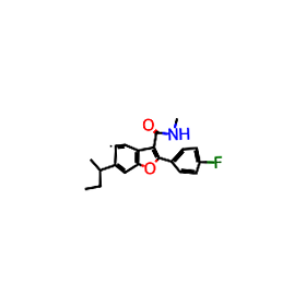 CCC(C)c1[c]cc2c(C(=O)NC)c(-c3ccc(F)cc3)oc2c1